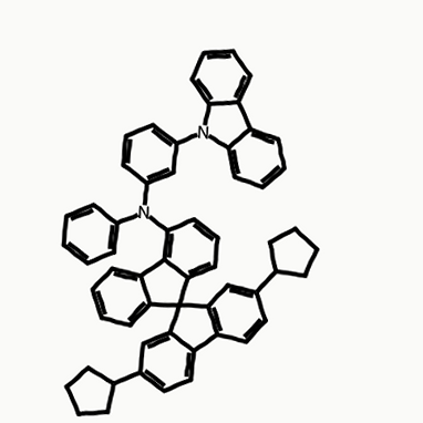 c1ccc(N(c2cccc(-n3c4ccccc4c4ccccc43)c2)c2cccc3c2-c2ccccc2C32c3cc(C4CCCC4)ccc3-c3ccc(C4CCCC4)cc32)cc1